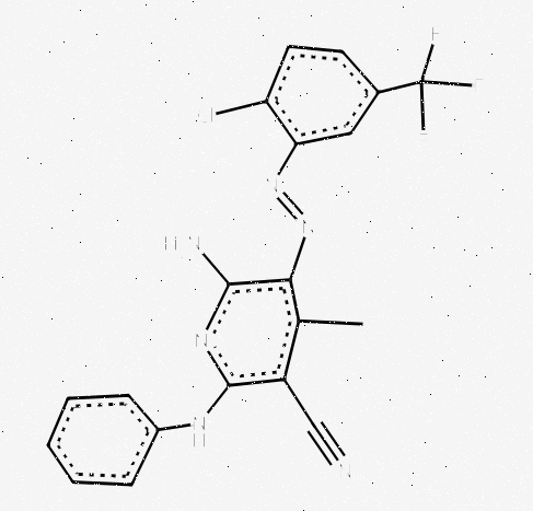 Cc1c(C#N)c(Nc2ccccc2)nc(N)c1N=Nc1cc(C(F)(F)F)ccc1Cl